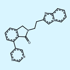 O=C1c2c(cccc2-c2cncnc2)CN1CCc1cn2ccccc2n1